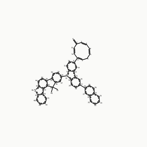 C=C1/C=C\C=C/C/C=C(c2ccc3c(c2)c2cc(-c4ccc5ccccc5c4)ccc2n3-c2ccc3c(c2)C(C)(C)c2c-3ccc3sc4ccccc4c23)\C=C/1